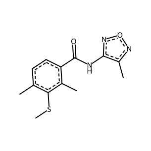 CSc1c(C)ccc(C(=O)Nc2nonc2C)c1C